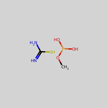 COP(O)O.N=C(N)S